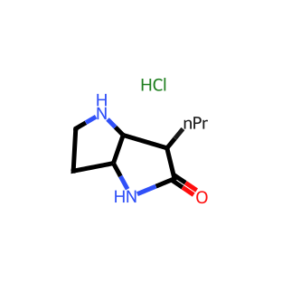 CCCC1C(=O)NC2CCNC21.Cl